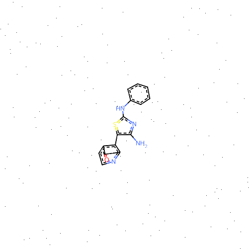 Nc1nc(Nc2ccccc2)sc1-c1c2ccnc1C2=O